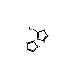 [Cu][C]1=CC=CC1.c1ccsc1